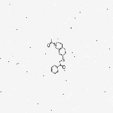 CC(=O)N1CCc2ccc(SCC(=O)c3ccccc3)cc2C1